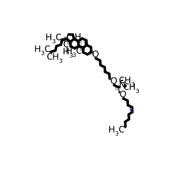 CCCCC/C=C\CCCOC[C@H](COCCCCCCCO[C@H]1CC[C@@]2(C)C(=CC[C@@H]3C2CC[C@@]2(C)C3CC[C@@H]2[C@H](C)CCCC(C)C)C1)N(C)C